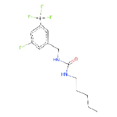 CCCCCNC(=O)NCc1cc(F)cc(C(F)(F)F)c1